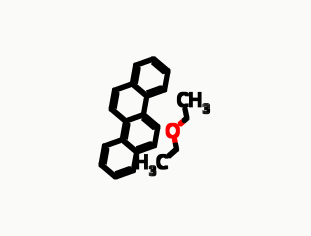 CCOCC.c1ccc2c(c1)ccc1c3ccccc3ccc21